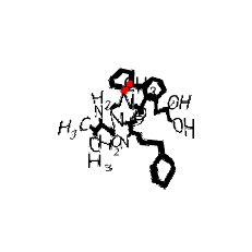 CCN(CN(C(=O)C(N)CCCc1ccccc1)C(=O)C(N)C(C)C)C(=O)c1c(C[C@H](O)CO)cccc1-c1ccccc1